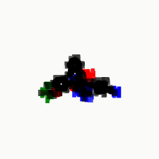 N#Cc1ccc(Cn2cncc2C(C(N)=O)(C(=O)O)C2Cc3ccccc3CN2Cc2cccc(OC(F)(F)F)c2)cc1